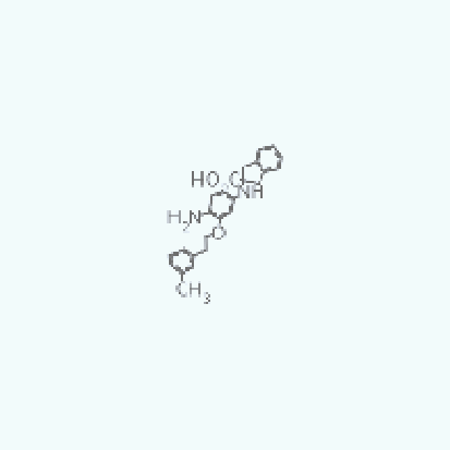 Cc1cccc(CCOc2cc(NC3(C(=O)O)Cc4ccccc4C3)ccc2N)c1